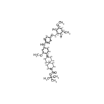 COc1cc(Nc2ncc(OCc3c(F)c(C)cc(OC)c3F)cn2)ccc1N1CCC2(CCN(C(=O)OC(C)(C)C)CC2)CC1